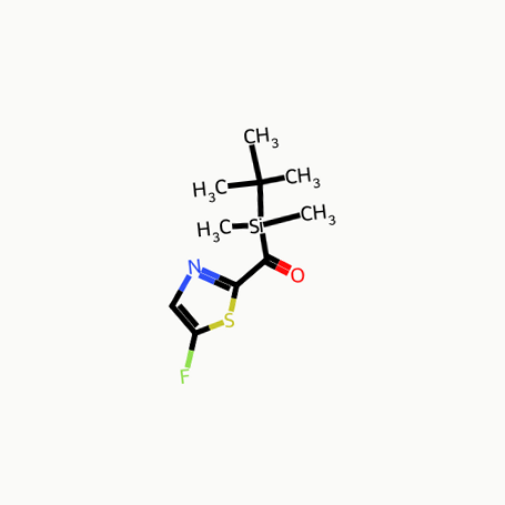 CC(C)(C)[Si](C)(C)C(=O)c1ncc(F)s1